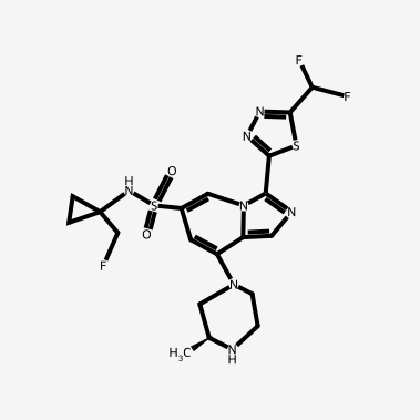 C[C@H]1CN(c2cc(S(=O)(=O)NC3(CF)CC3)cn3c(-c4nnc(C(F)F)s4)ncc23)CCN1